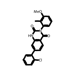 COc1cccc(-n2c(=O)[nH]c3cc(-c4ccccc4Cl)ccc3c2=O)c1C